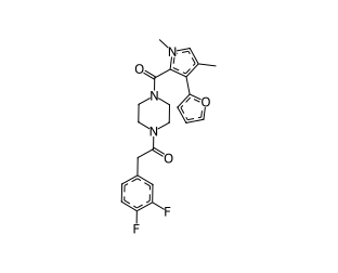 Cc1cn(C)c(C(=O)N2CCN(C(=O)Cc3ccc(F)c(F)c3)CC2)c1-c1ccco1